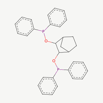 c1ccc(P(OC2C3CCC(C3)C2OP(c2ccccc2)c2ccccc2)c2ccccc2)cc1